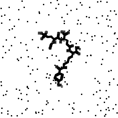 NC(=O)[C@H](CCCCNC(=O)c1ccc(N)cc1)NC(=O)CC[C@H](NC(=O)[C@H](CCS(=O)(=O)O)NC=O)C(=O)O